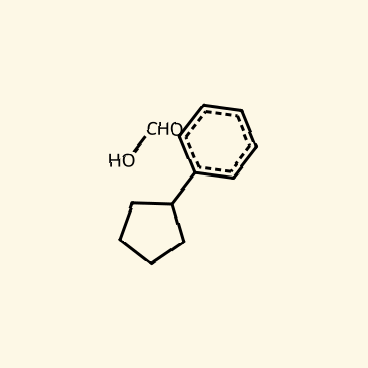 O=CO.c1ccc(C2CCCC2)cc1